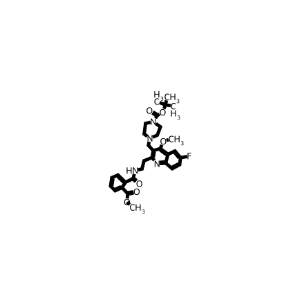 COC(=O)c1ccccc1C(=O)NCCc1nc2ccc(F)cc2c(OC)c1CN1CCN(C(=O)OC(C)(C)C)CC1